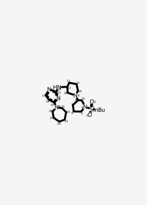 CCCCS(=O)(=O)N1CCCC(N2CCCC(Nc3nccc(N4CCCCCC4)n3)C2)C1